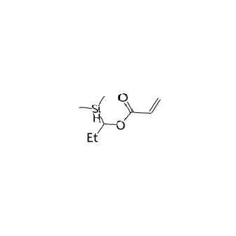 C=CC(=O)OC(CC)[SiH](C)C